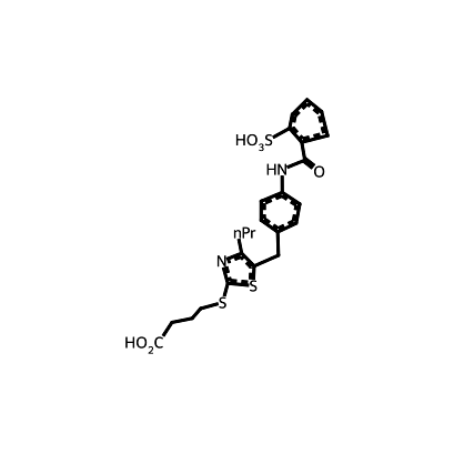 CCCc1nc(SCCCC(=O)O)sc1Cc1ccc(NC(=O)c2ccccc2S(=O)(=O)O)cc1